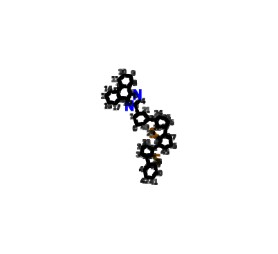 c1cc(-c2cnc3c4ccccc4c4ccccc4c3n2)cc(-c2cccc3c2sc2c(-c4cccc5c4sc4ccccc45)cccc23)c1